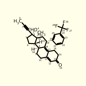 CC#C[C@]1(O)CC[C@H]2[C@@H]3CCC4=CC(=O)CCC4=C3[C@@H](c3cccc(C(F)(F)F)c3)C[C@@]21C